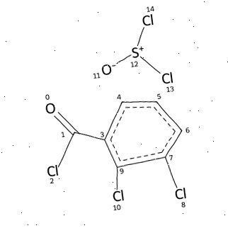 O=C(Cl)c1cccc(Cl)c1Cl.[O-][S+](Cl)Cl